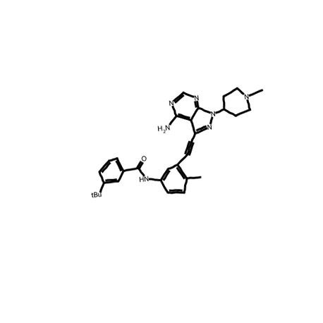 Cc1ccc(NC(=O)c2cccc(C(C)(C)C)c2)cc1C#Cc1nn(C2CCN(C)CC2)c2ncnc(N)c12